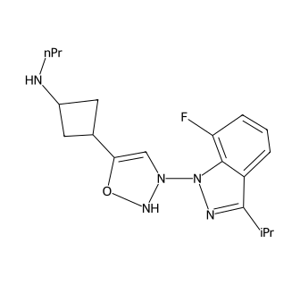 [CH2]CCNC1CC(C2=CN(n3nc(C(C)C)c4cccc(F)c43)NO2)C1